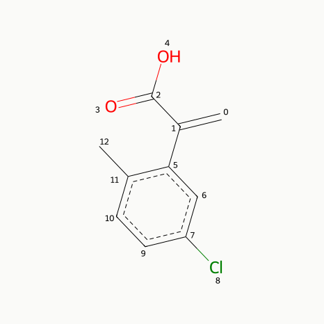 C=C(C(=O)O)c1cc(Cl)ccc1C